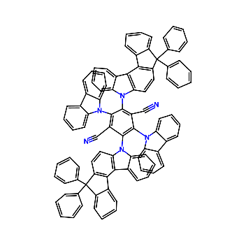 N#Cc1c(-n2c3ccccc3c3ccccc32)c(-n2c3ccccc3c3c4c(ccc32)C(c2ccccc2)(c2ccccc2)c2ccccc2-4)c(C#N)c(-n2c3ccccc3c3ccccc32)c1-n1c2ccccc2c2c3c(ccc21)C(c1ccccc1)(c1ccccc1)c1ccccc1-3